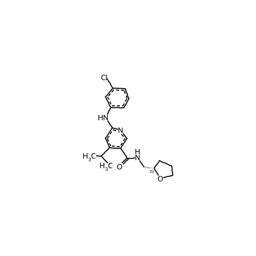 CC(C)c1cc(Nc2cccc(Cl)c2)ncc1C(=O)NC[C@@H]1CCCO1